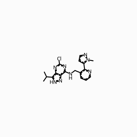 CC(C)c1[nH]nc2c(NCc3cccnc3-c3ccnn3C)nc(Cl)nc12